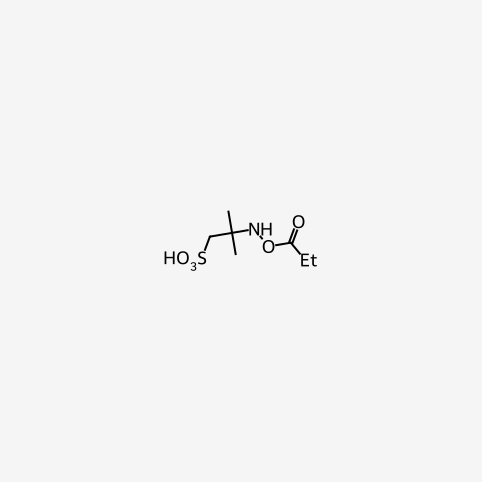 CCC(=O)ONC(C)(C)CS(=O)(=O)O